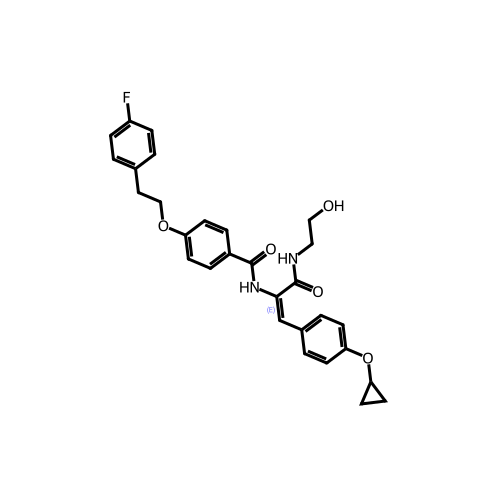 O=C(NCCO)/C(=C\c1ccc(OC2CC2)cc1)NC(=O)c1ccc(OCCc2ccc(F)cc2)cc1